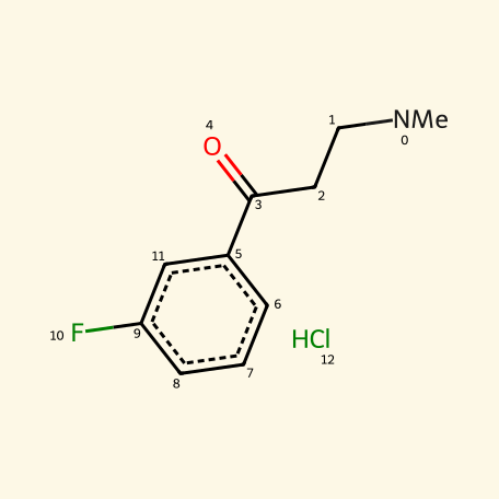 CNCCC(=O)c1cccc(F)c1.Cl